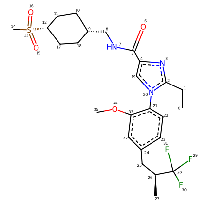 CCc1nc(C(=O)NC[C@H]2CC[C@@H](S(C)(=O)=O)CC2)cn1-c1ccc(C[C@H](C)C(F)(F)F)cc1OC